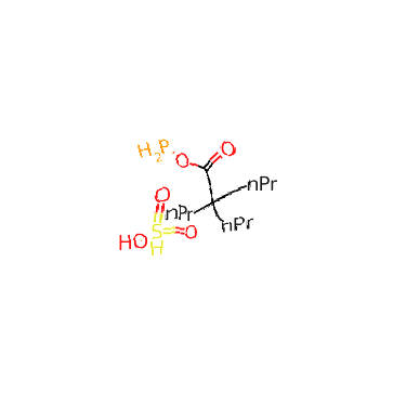 CCCC(CCC)(CCC)C(=O)OP.O=[SH](=O)O